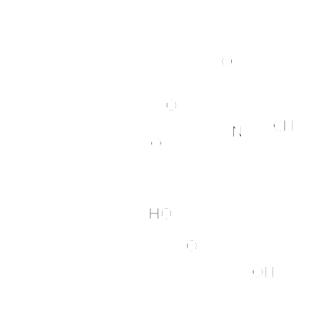 CN(C(=O)OCc1ccccc1)C(CC(=O)O)C(=O)O